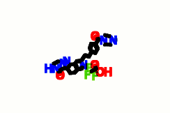 CN1CCN(C(=O)c2ccc(C=Cc3cc4c(cn3)CCc3c-4nn4c3C(=O)NCC4)cc2)CC1.O=C(O)C(F)(F)F